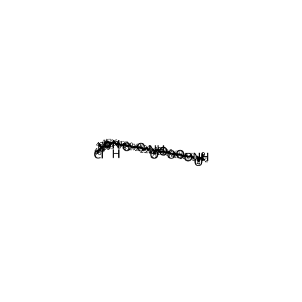 C=C(C)C(=O)NCCOCCOCCOCCOCCC(=O)NCCCOCCCCOCCCNCc1ccc(N(C)CCCl)cc1